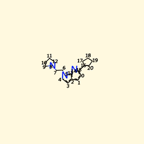 c1cc2ccn(CCN3CCCC3)c2nc1C1CCCC1